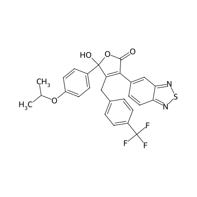 CC(C)Oc1ccc(C2(O)OC(=O)C(c3ccc4nsnc4c3)=C2Cc2ccc(C(F)(F)F)cc2)cc1